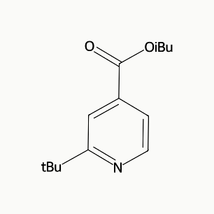 CC(C)COC(=O)c1ccnc(C(C)(C)C)c1